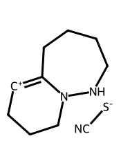 N#C[S-].[C+]1=C2CCCCNN2CCC1